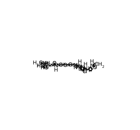 C=CC(=O)Nc1cccc(CNc2nc(Nc3cnn(CCOCCOCCOCCNC(=O)CCCC[C@@H]4SC[C@@H]5NC(=C)N[C@@H]54)c3)ncc2Cl)c1